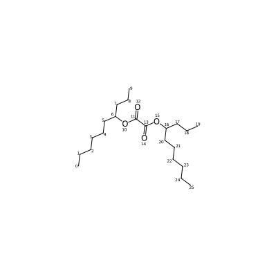 CCCCCCC(CCC)OC(=O)C(=O)OC(CCC)CCCCCC